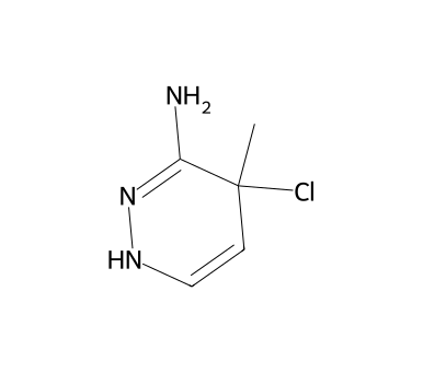 CC1(Cl)C=CNN=C1N